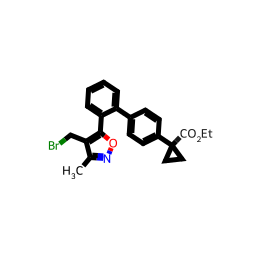 CCOC(=O)C1(c2ccc(-c3ccccc3-c3onc(C)c3CBr)cc2)CC1